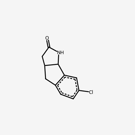 O=C1CC2Cc3ccc(Cl)cc3C2N1